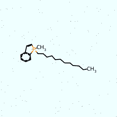 CCCCCCCCCCCC[P]1(C)C=Cc2ccccc21